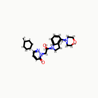 C[C@H]1CC[C@H](c2ccc(=O)n(CC(=O)N3CCc4c(N5CCOCC5)cccc43)n2)CC1